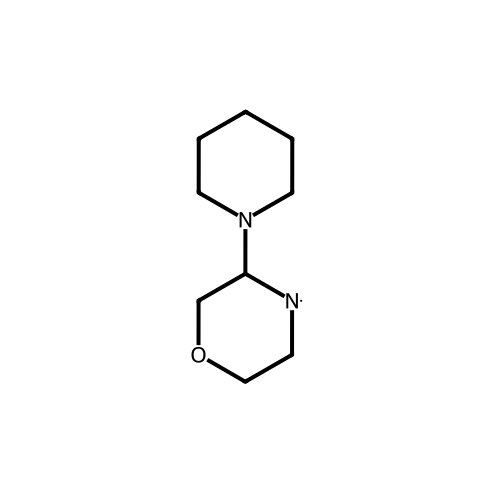 C1CCN(C2COCC[N]2)CC1